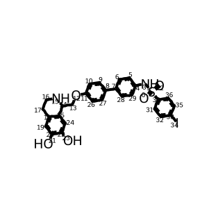 O=S(=O)(Nc1ccc(-c2ccc(OCC3NCCc4cc(O)c(O)cc43)cc2)cc1)c1ccc(I)cc1